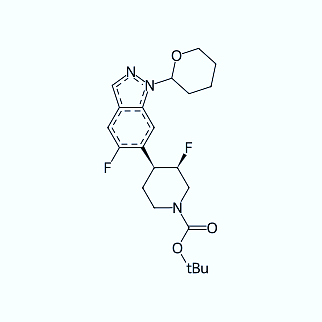 CC(C)(C)OC(=O)N1CC[C@@H](c2cc3c(cnn3C3CCCCO3)cc2F)[C@@H](F)C1